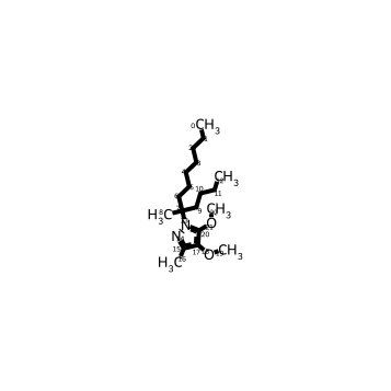 CCCCCCCC(C)(CCCC)n1nc(C)c(OC)c1OC